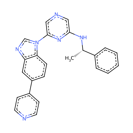 C[C@H](Nc1cncc(-n2cnc3cc(-c4ccncc4)ccc32)n1)c1ccccc1